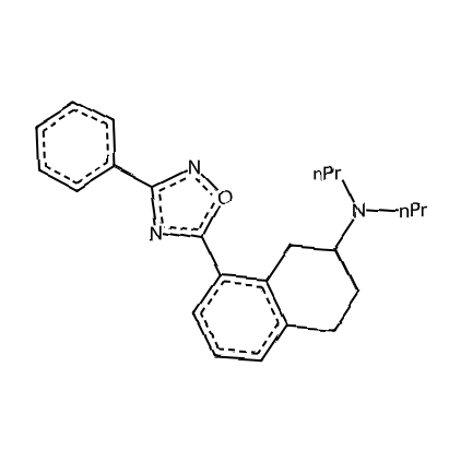 CCCN(CCC)C1CCc2cccc(-c3nc(-c4ccccc4)no3)c2C1